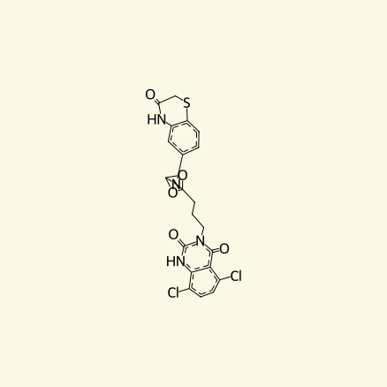 O=C1CSc2ccc(N3CC4(CCCn5c(=O)[nH]c6c(Cl)ccc(Cl)c6c5=O)OC3O4)cc2N1